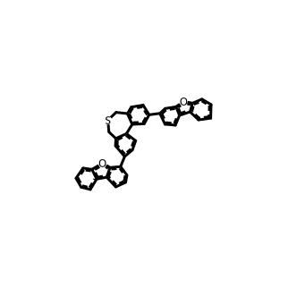 c1ccc2c(c1)oc1cc(-c3ccc4c(c3)-c3ccc(-c5cccc6c5oc5ccccc56)cc3CSC4)ccc12